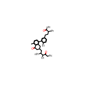 CCCC(=O)C(CCc1ccc(CC)c(-c2ccc(C)c3c2CC(CC(CCC)C(CC)C(=O)CC(C)=O)CC3=O)c1)C(C)C